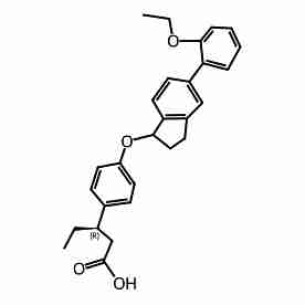 CCOc1ccccc1-c1ccc2c(c1)CCC2Oc1ccc([C@H](CC)CC(=O)O)cc1